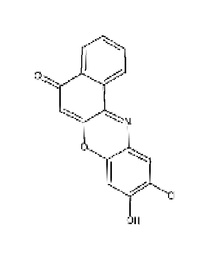 O=c1cc2oc3cc(O)c(Cl)cc3nc-2c2ccccc12